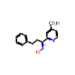 O=C(O)c1ccnc(/C(CCc2ccccc2)=N/O)c1